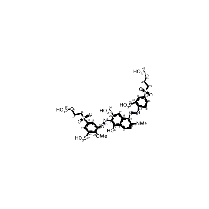 CNc1ccc2c(O)c(/N=N/c3cc(S(=O)(=O)CCOS(=O)(=O)O)cc(S(=O)(=O)O)c3OC)c(S(=O)(=O)O)cc2c1/N=N/c1ccc(S(=O)(=O)CCOS(=O)(=O)O)cc1S(=O)(=O)O